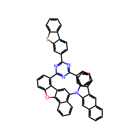 c1ccc(-c2nc(-c3ccc4c(c3)sc3ccccc34)nc(-c3cccc4oc5c6ccccc6c(-n6c7ccccc7c7cc8ccccc8cc76)cc5c34)n2)cc1